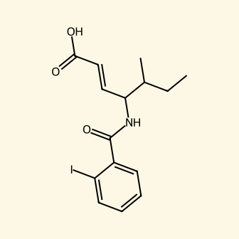 CCC(C)C(C=CC(=O)O)NC(=O)c1ccccc1I